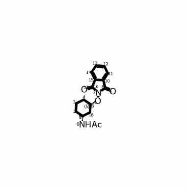 CC(=O)N[C@@H]1CCC[C@H](ON2C(=O)c3ccccc3C2=O)C1